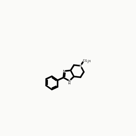 O=C(O)N1CCC2NC(c3ccccc3)=NC2C1